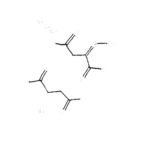 O=C([O-])CC(=NO)C(=O)[O-].O=C([O-])CCC(=O)[O-].[Na+].[Na+].[Na+].[Na+]